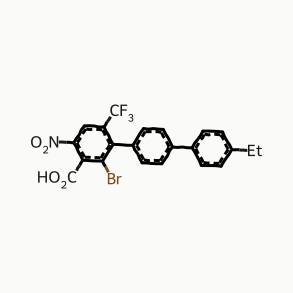 CCc1ccc(-c2ccc(-c3c(C(F)(F)F)cc([N+](=O)[O-])c(C(=O)O)c3Br)cc2)cc1